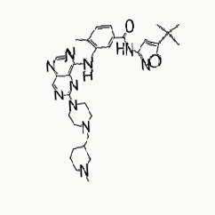 Cc1ccc(C(=O)Nc2cc(C(C)(C)C)on2)cc1Nc1ncnc2cnc(N3CCN(CC4CCCN(C)C4)CC3)nc12